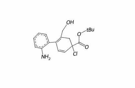 CC(C)(C)OC(=O)C1(Cl)C=CC(c2ccccc2N)=C(CO)C1